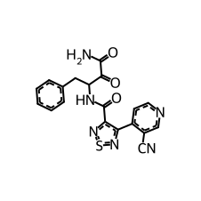 N#Cc1cnccc1-c1nsnc1C(=O)NC(Cc1ccccc1)C(=O)C(N)=O